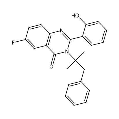 CC(C)(Cc1ccccc1)n1c(-c2ccccc2O)nc2ccc(F)cc2c1=O